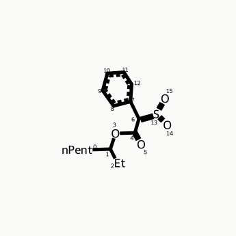 CCCCCC(CC)OC(=O)C(c1ccccc1)=S(=O)=O